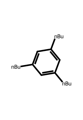 [CH2]CCCc1cc(CCCC)cc(CCCC)c1